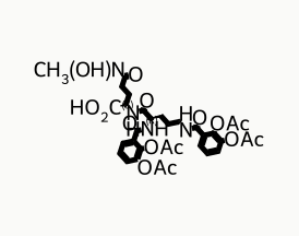 CC(=O)Oc1cccc(C(=O)NCCC[C@@H](NC(=O)c2cccc(OC(C)=O)c2OC(C)=O)C(=O)N[C@@H](CCC(=O)N(C)O)C(=O)O)c1OC(C)=O